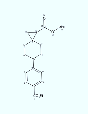 CCOC(=O)c1ccc(C2CCC3(CC2)CC3C(=O)OC(C)(C)C)cc1